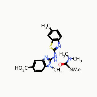 CNC(=O)N(C)C.Cc1ccc2nc(Nc3nc4cc(C(=O)O)ccc4n3C)sc2c1